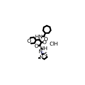 CN1CCS/C1=N\NC(=O)C(=O)[C@@H](NC(=O)C1CCCCCC1)C1CCOCC1.Cl